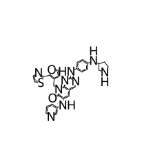 O=c1c(Nc2cccnc2)cc2cnc(Nc3ccc(NC4CCNC4)cc3)nc2n1Cc1ccoc1-c1nccs1